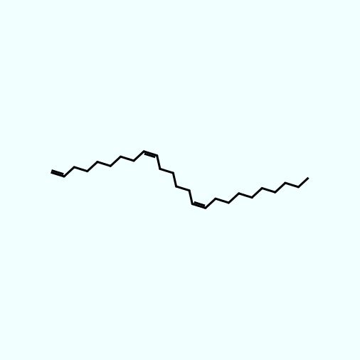 C=CCCCCCC/C=C\CCCC/C=C\CCCCCCCCC